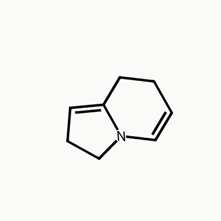 C1=CN2CCC=C2CC1